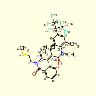 C=C/C(=C\C(=C/C)N(CCSC)C(=O)c1ccccc1)C(=O)N(C)c1c(C)cc(C(F)(C(F)(F)F)C(F)(F)F)cc1C